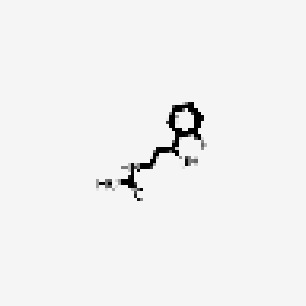 O=C(O)NCCC(O)c1ccccc1F